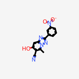 Cc1c(C#N)c(O)cc2nc(-c3cccc([N+](=O)[O-])c3)nn12